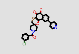 O=C1C(=O)c2ccc(-c3ccncc3)cc2C2=C1SCC1(CCN(C(=O)c3cccc(Cl)c3)CC1)O2